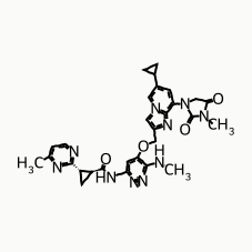 CNc1nnc(NC(=O)[C@H]2C[C@@H]2c2nccc(C)n2)cc1OCc1cn2cc(C3CC3)cc(N3CC(=O)N(C)C3=O)c2n1